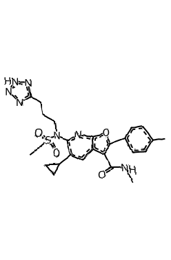 CNC(=O)c1c(-c2ccc(C)cc2)oc2nc(N(CCCc3nn[nH]n3)S(C)(=O)=O)c(C3CC3)cc12